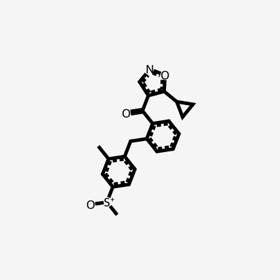 Cc1cc([S+](C)[O-])ccc1Cc1ccccc1C(=O)c1cnoc1C1CC1